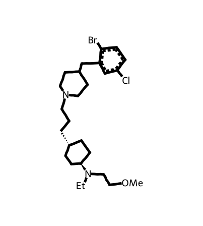 CCN(CCOC)[C@H]1CC[C@H](CCCN2CCC(Cc3cc(Cl)ccc3Br)CC2)CC1